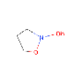 ON1CCCO1